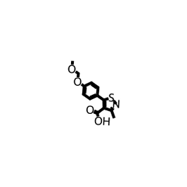 COCOc1ccc(-c2snc(C)c2C(=O)O)cc1